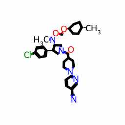 CN(OCO[C@H]1CC[C@H](C)CC1)[C@@H]1CN(C(=O)C2CCN(c3ccc(C#N)cn3)CC2)C[C@H]1c1ccc(Cl)cc1